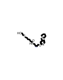 O=C(CCCCCSCCO)NC/C=C\COc1cc(CN2CCCCC2)ccn1